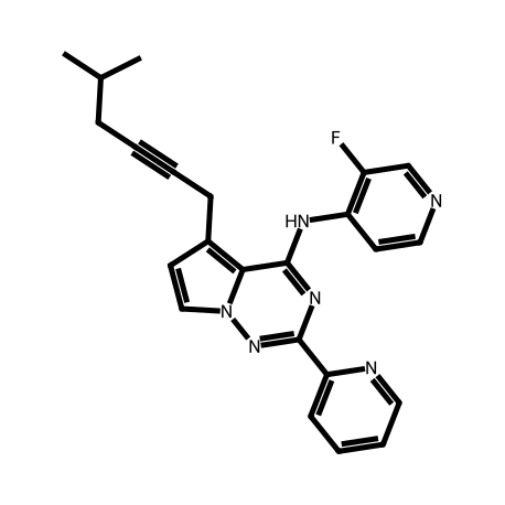 CC(C)CC#CCc1ccn2nc(-c3ccccn3)nc(Nc3ccncc3F)c12